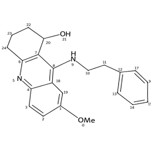 COc1ccc2nc3c(c(NCCc4ccccc4)c2c1)C(O)CCC3